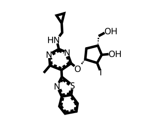 Cc1nc(NCC2CC2)nc(O[C@@H]2C[C@H](CO)C(O)C2I)c1-c1nc2ccccc2s1